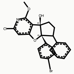 COc1nc(Cl)cc2c1[C@]1(O)CCC(c3ccccc3)[C@]1(c1ccc(Br)cc1)O2